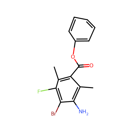 Cc1c(N)c(Br)c(F)c(C)c1C(=O)Oc1ccccc1